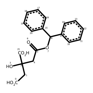 O=C(O)CC(O)(CC(=O)OC(c1ccccc1)c1ccccc1)C(=O)O